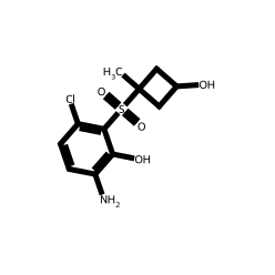 CC1(S(=O)(=O)c2c(Cl)ccc(N)c2O)CC(O)C1